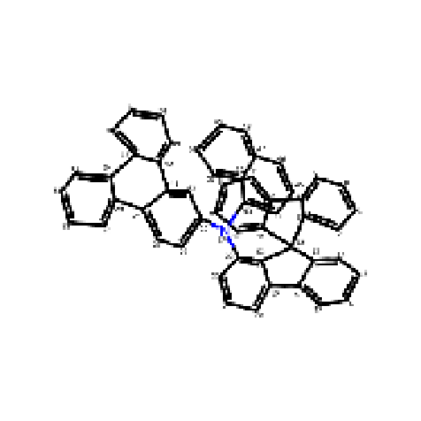 c1ccc2c(c1)-c1ccccc1C21c2ccccc2-c2cccc(N(c3ccc4c5ccccc5c5ccccc5c4c3)c3cccc4ccccc34)c21